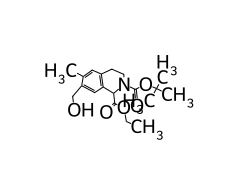 CCOC(=O)C1c2cc(CO)c(C)cc2CCN1C(=O)OC(C)(C)C